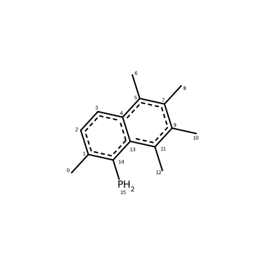 Cc1ccc2c(C)c(C)c(C)c(C)c2c1P